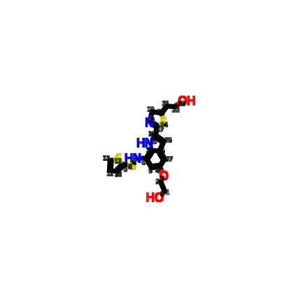 OCCOc1cc(NSc2cccs2)c2[nH]c(C3=NCC(CCO)S3)cc2c1